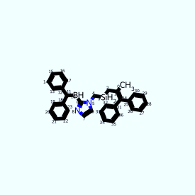 CC(C[SiH2]Cn1ccnc1BC(c1ccccc1)c1ccccc1)=C(c1ccccc1)c1ccccc1